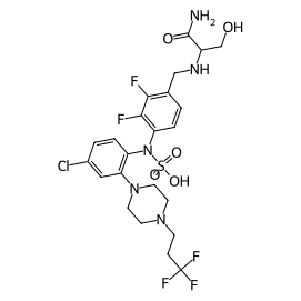 NC(=O)C(CO)NCc1ccc(N(c2ccc(Cl)cc2N2CCN(CCC(F)(F)F)CC2)S(=O)(=O)O)c(F)c1F